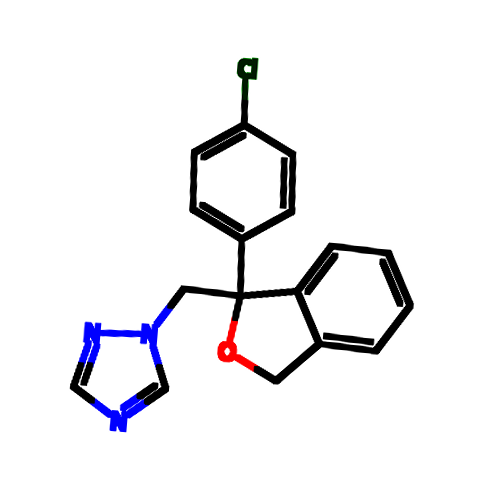 Clc1ccc(C2(Cn3cncn3)OCc3ccccc32)cc1